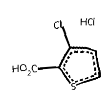 Cl.O=C(O)c1sccc1Cl